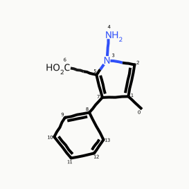 Cc1cn(N)c(C(=O)O)c1-c1ccccc1